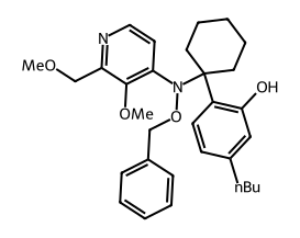 CCCCc1ccc(C2(N(OCc3ccccc3)c3ccnc(COC)c3OC)CCCCC2)c(O)c1